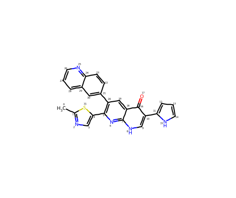 Cc1ncc(-c2nc3[nH]cc(-c4ccc[nH]4)c(=O)c3cc2-c2ccc3ncccc3c2)s1